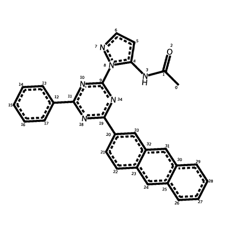 CC(=O)Nc1ccnn1-c1nc(-c2ccccc2)nc(-c2ccc3cc4ccccc4cc3c2)n1